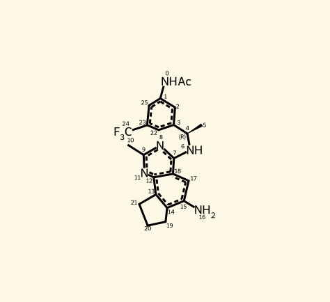 CC(=O)Nc1cc([C@@H](C)Nc2nc(C)nc3c4c(c(N)cc23)CCC4)cc(C(F)(F)F)c1